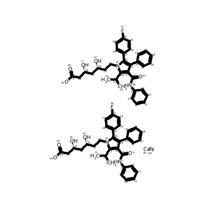 CC(C)c1c(C(=O)Nc2ccccc2)c(-c2ccccc2)c(-c2ccc(F)cc2)n1CC[C@@H](O)C[C@@H](O)CC(=O)[O-].CC(C)c1c(C(=O)Nc2ccccc2)c(-c2ccccc2)c(-c2ccc(F)cc2)n1CC[C@@H](O)C[C@@H](O)CC(=O)[O-].[Ca+2].[Fe]